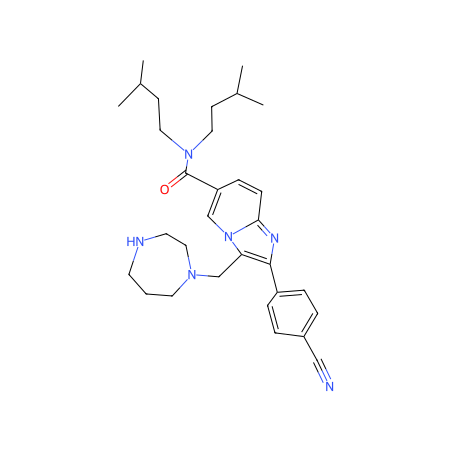 CC(C)CCN(CCC(C)C)C(=O)c1ccc2nc(-c3ccc(C#N)cc3)c(CN3CCCNCC3)n2c1